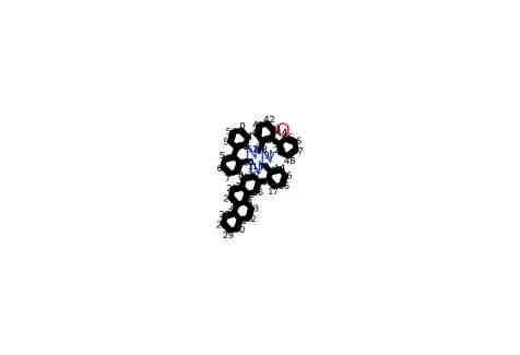 c1ccc(-c2ccccc2-c2nc(-c3ccccc3-c3ccc4ccc5c6ccccc6ccc5c4c3)nc(-c3cccc4oc5ccccc5c34)n2)cc1